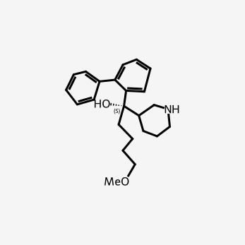 COCCCC[C@@](O)(c1ccccc1-c1ccccc1)C1CCCNC1